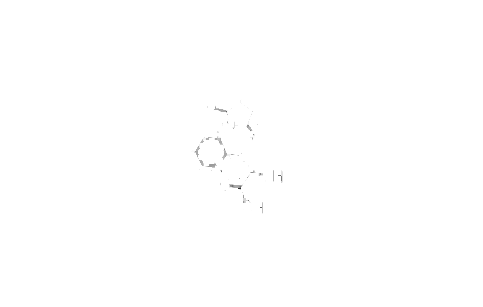 CC(Sc1ncccc1N1C(=O)CCC1=O)C(=O)O